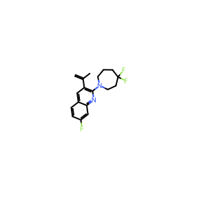 C=C(C)c1cc2ccc(F)cc2nc1N1CCCC(F)(F)CC1